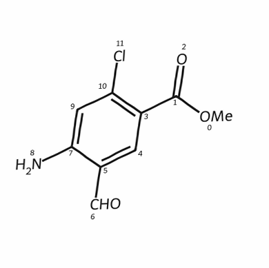 COC(=O)c1cc(C=O)c(N)cc1Cl